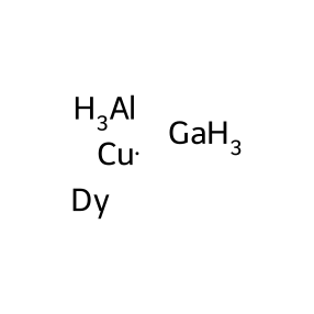 [AlH3].[Cu].[Dy].[GaH3]